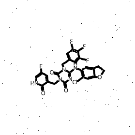 O=c1[nH]cc(F)cc1Cn1c(=O)nc(Nc2cc3c(cc2Cl)OCC3)n(Cc2cc(F)c(F)c(F)c2)c1=O